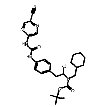 CC(C)(C)OC(=O)N(CC1CCCCC1)C(Cl)Cc1ccc(NC(=O)Nc2cnc(C#N)cn2)cc1